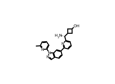 Cc1cccc(-n2ncc3ccc(-c4cccc([C@H](N)C5CC(O)C5)n4)cc32)n1